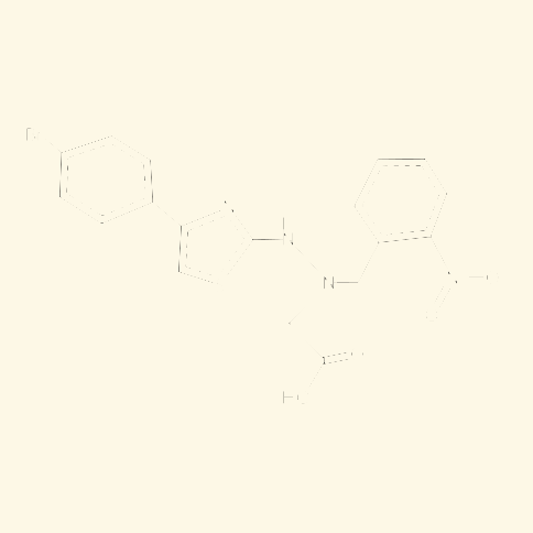 O=C(O)CN(Cc1ccccc1[N+](=O)[O-])Nc1nc(-c2ccc(Br)cc2)cs1